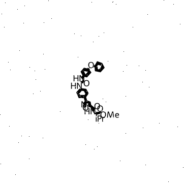 COC(=O)[C@@H](NC(=O)c1cc(-c2ccc(NC(=O)Nc3ccc(Oc4ccccc4)cc3)cc2)no1)C(C)C